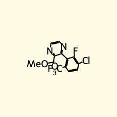 COC(=O)c1nccnc1-c1c(C(F)(F)F)ccc(Cl)c1F